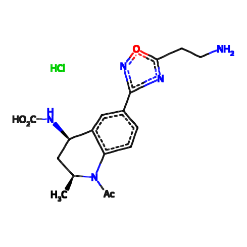 CC(=O)N1c2ccc(-c3noc(CCN)n3)cc2[C@H](NC(=O)O)C[C@@H]1C.Cl